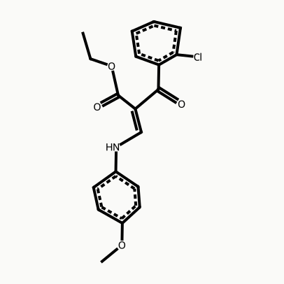 CCOC(=O)C(=CNc1ccc(OC)cc1)C(=O)c1ccccc1Cl